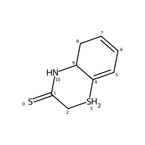 S=C1C[SH2]C2=CC=CCC2N1